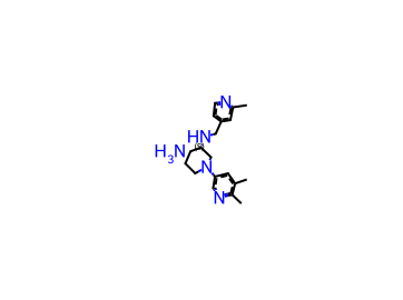 Cc1cc(CN[C@H]2CCCN(c3cnc(C)c(C)c3)C2)ccn1.N